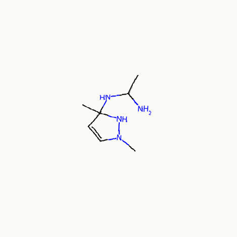 CC(N)NC1(C)C=CN(C)N1